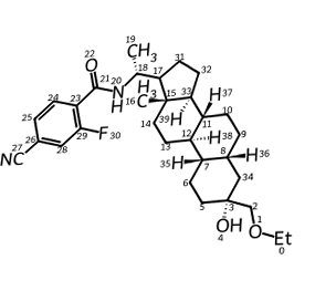 CCOC[C@@]1(O)CC[C@H]2[C@H](CC[C@@H]3[C@@H]2CC[C@]2(C)C([C@@H](C)NC(=O)c4ccc(C#N)cc4F)CC[C@@H]32)C1